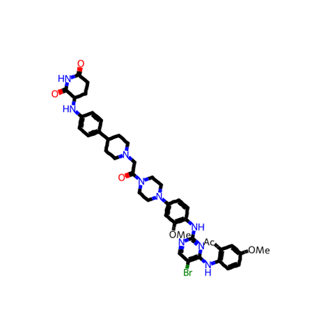 COc1ccc(Nc2nc(Nc3ccc(N4CCN(C(=O)CN5CCC(c6ccc(NC7CCC(=O)NC7=O)cc6)CC5)CC4)cc3OC)ncc2Br)c(C(C)=O)c1